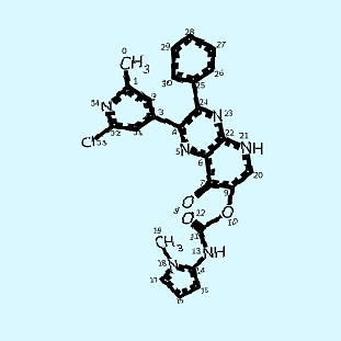 Cc1cc(-c2nc3c(=O)c(OC(=O)Nc4cccn4C)c[nH]c3nc2-c2ccccc2)cc(Cl)n1